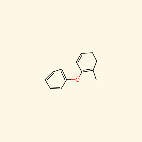 CC1=C(Oc2ccccc2)C=CCC1